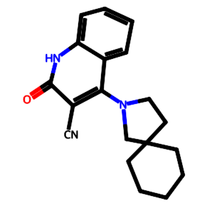 N#Cc1c(N2CCC3(CCCCC3)C2)c2ccccc2[nH]c1=O